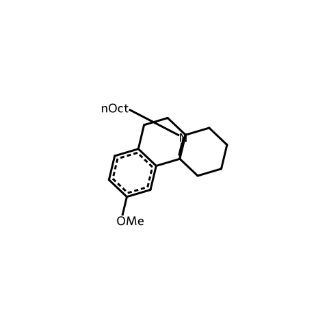 CCCCCCCCN1CCC23CCCCC2(CCc2ccc(OC)cc23)C1